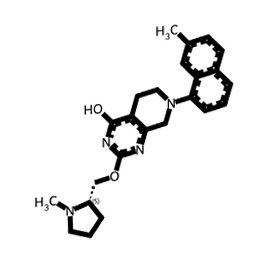 Cc1ccc2cccc(N3CCc4c(O)nc(OC[C@@H]5CCCN5C)nc4C3)c2c1